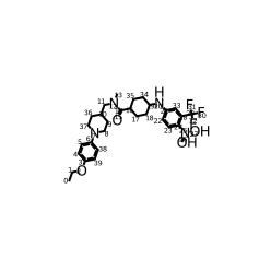 CCOc1ccc(N2CCC(CN(C)C(=O)C3CCC(Nc4ccc(N(O)O)c(C(F)(F)F)c4)CC3)CC2)cc1